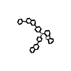 c1ccc(-c2ccc3ccc(-c4ccc(N(c5ccc(-c6ccc7ccccc7c6)cc5)c5cccc6c5sc5ccccc56)cc4)cc3c2)cc1